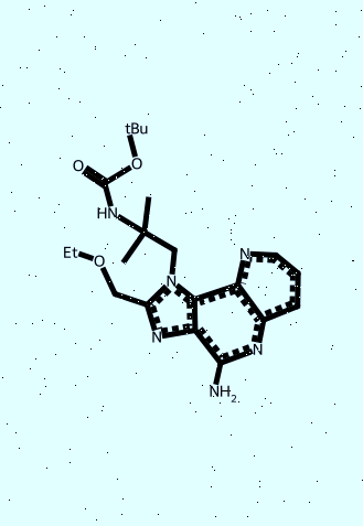 CCOCc1nc2c(N)nc3cccnc3c2n1CC(C)(C)NC(=O)OC(C)(C)C